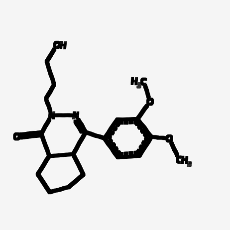 COc1ccc(C2=NN(CCCO)C(=O)C3CCCCC23)cc1OC